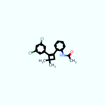 CC(=O)Nc1ccccc1C1=C(c2cc(Cl)cc(Cl)c2)C(C)(C)C1